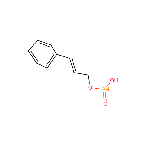 O=[PH](O)OCC=Cc1ccccc1